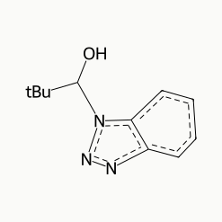 CC(C)(C)C(O)n1nnc2ccccc21